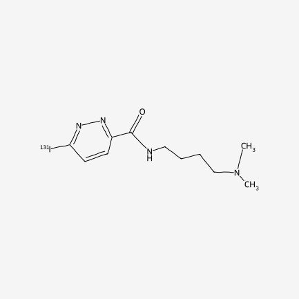 CN(C)CCCCNC(=O)c1ccc([131I])nn1